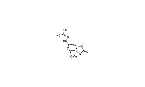 COc1cc(NN=C(C#N)C#N)cc2c1n(C)c(=O)n2C